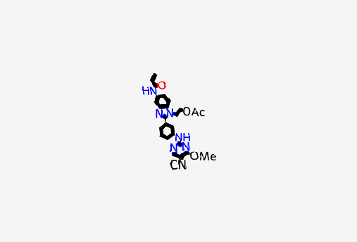 C=CC(=O)Nc1ccc2c(c1)nc([C@H]1CCC[C@@H](Nc3ncc(C#N)c(OC)n3)C1)n2CCOC(C)=O